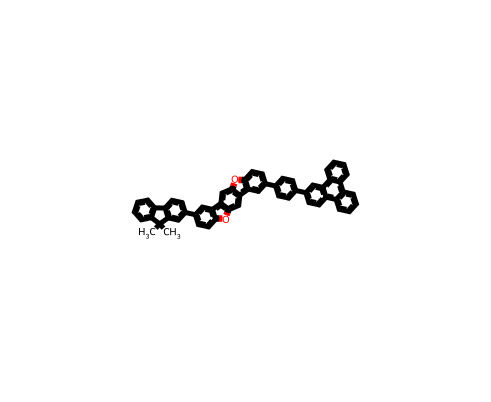 CC1(C)c2ccccc2-c2ccc(-c3ccc4oc5cc6c(cc5c4c3)oc3ccc(-c4ccc(-c5ccc7c8ccccc8c8ccccc8c7c5)cc4)cc36)cc21